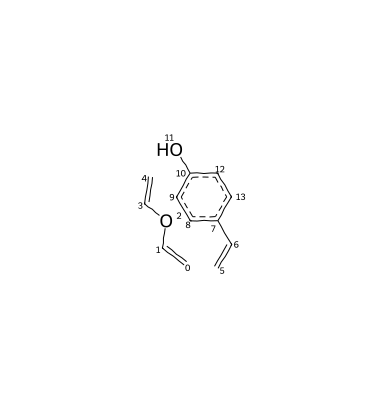 C=COC=C.C=Cc1ccc(O)cc1